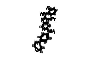 CC(C)n1c(Nc2ccccc2F)nc2cnc(Nc3ccc(N4CCOCC4)cc3)nc21